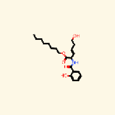 CCCCCCCCOC(=O)C(/C=C/CCO)NC(=O)c1ccccc1O